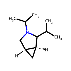 CC(C)C1[C@H]2C[C@H]2CN1C(C)C